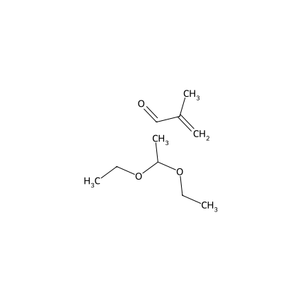 C=C(C)C=O.CCOC(C)OCC